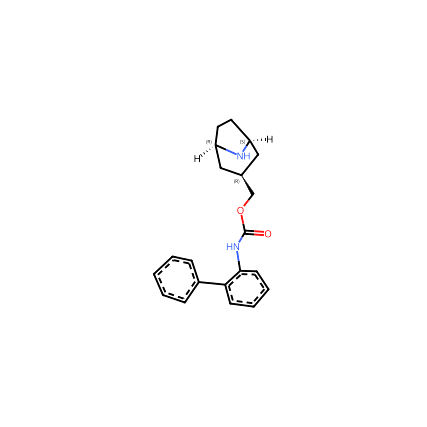 O=C(Nc1ccccc1-c1ccccc1)OC[C@H]1C[C@H]2CC[C@@H](C1)N2